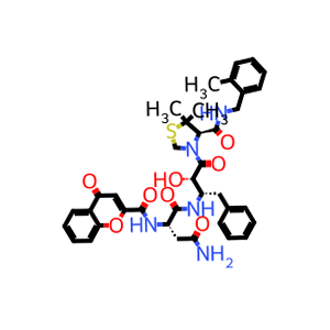 Cc1ccccc1CNC(=O)[C@H]1N(C(=O)[C@@H](O)[C@H](Cc2ccccc2)NC(=O)[C@H](CC(N)=O)NC(=O)c2cc(=O)c3ccccc3o2)CSC1(C)C